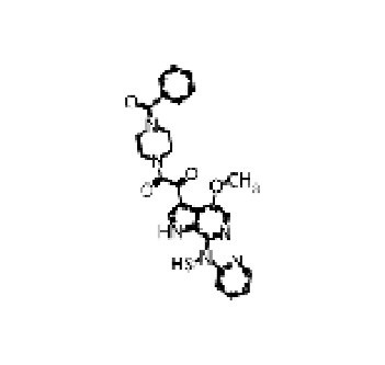 COc1cnc(N(S)c2ccccn2)c2[nH]cc(C(=O)C(=O)N3CCN(C(=O)c4ccccc4)CC3)c12